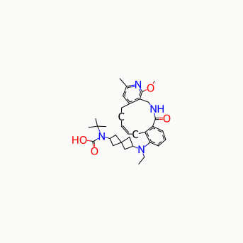 CCN(c1cccc2c1CC=CCCc1cc(C)nc(OC)c1CNC2=O)C1CC2(C1)CC(N(C(=O)O)C(C)(C)C)C2